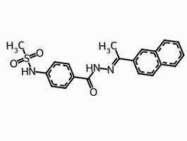 CC(=NNC(=O)c1ccc(NS(C)(=O)=O)cc1)c1ccc2ccccc2c1